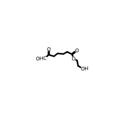 O=CC(=O)CCCCC(=O)OCCO